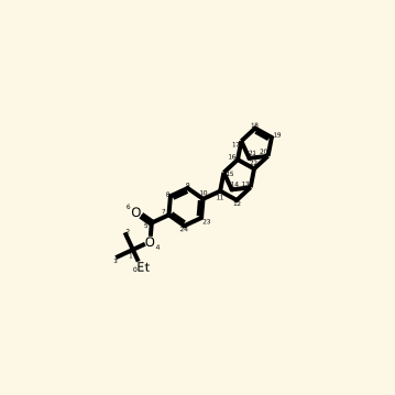 CCC(C)(C)OC(=O)c1ccc(C2CC3CC2C2C4C=CC(C4)C32)cc1